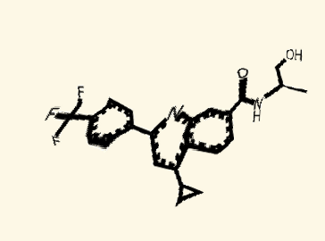 C[C@H](CO)NC(=O)c1ccc2c(C3CC3)cc(-c3ccc(C(F)(F)F)cc3)nc2c1